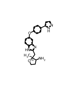 C[C@]1(Cc2nc3cc(Oc4ccc(-c5ccn[nH]5)cc4)ccc3[nH]2)OCCC1N